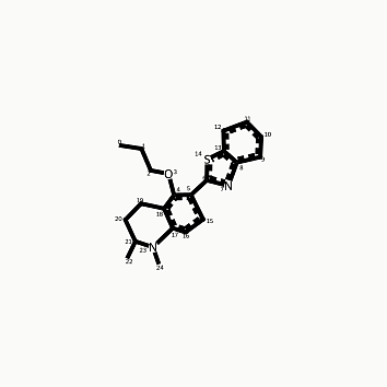 CCCOc1c(-c2nc3ccccc3s2)ccc2c1CCC(C)N2C